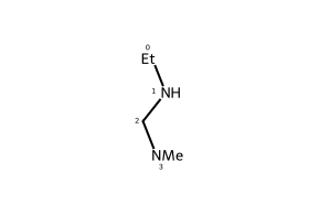 CCNCNC